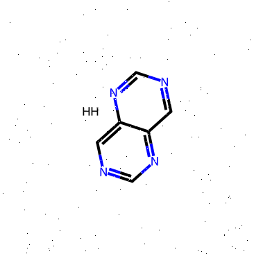 [HH].c1ncc2ncncc2n1